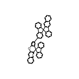 c1ccc2c(c1)-c1ccccc1C21c2cc(-c3ccc4c(c3)-c3ccccc3C43c4ccccc4-c4cc5ccccc5cc43)ccc2Oc2cc3ccccc3cc21